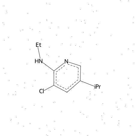 CCNc1ncc(C(C)C)cc1Cl